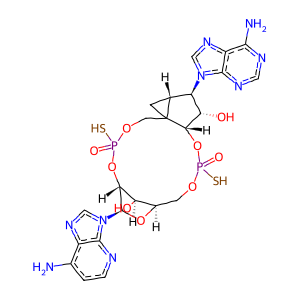 Nc1ncnc2c1ncn2[C@H]1[C@H](O)[C@@H]2OP(=O)(S)OC[C@H]3O[C@@H](n4cnc5c(N)ccnc54)[C@H](OP(=O)(S)OCC24C[C@H]14)[C@@H]3O